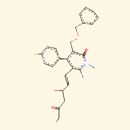 CC(C)c1c(/C=C/C(O)CC(=O)CC(=O)O)c(-c2ccc(F)cc2)c(COCc2ccccc2)c(=O)n1C